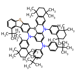 Cc1cc2c(cc1N1c3cc4c(cc3B3c5cc6c(cc5N(c5ccc7c(c5)C(C)(C)CCC7(C)C)c5cc(N(c7ccc(C(C)(C)C)cc7)c7ccc(C(C)(C)C)cc7)cc1c53)C(C)(C)CCC6(C)C)sc1cccc(C(C)(C)C)c14)C(C)(C)CCC2(C)C